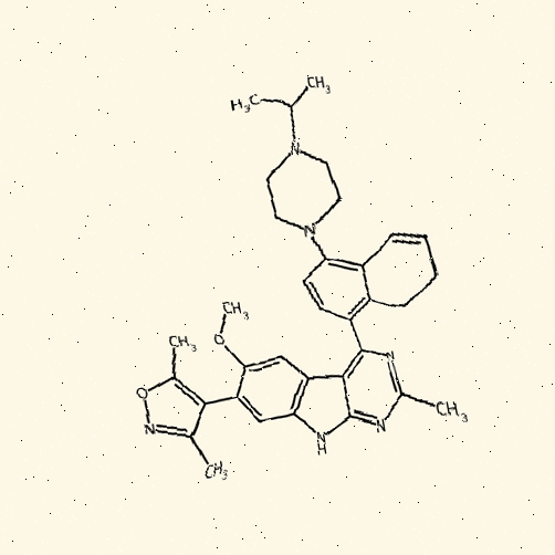 COc1cc2c(cc1-c1c(C)noc1C)[nH]c1nc(C)nc(-c3ccc(N4CCN(C(C)C)CC4)c4c3CCC=C4)c12